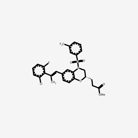 COC(=O)CC[C@H]1CN(S(=O)(=O)c2cccc(C(F)(F)F)c2)c2cc(/C=C(\C)c3c(F)cccc3Cl)ccc2O1